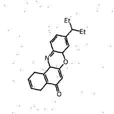 CCC(CC)C1=CC2OC3=CC(=O)C4=C(CC=CC4)C3N=C2C=C1